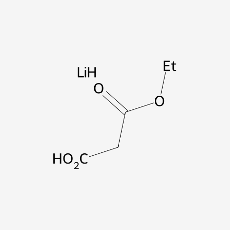 CCOC(=O)CC(=O)O.[LiH]